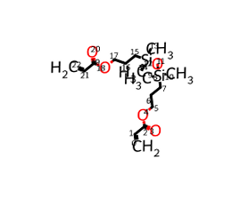 C=CC(=O)OCCC[Si](C)(C)O[Si](C)(C)CCCOC(=O)C=C